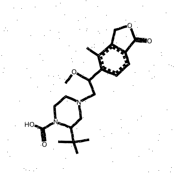 COC(CN1CCN(C(=O)O)C(C(C)(C)C)C1)c1ccc2c(c1C)COC2=O